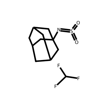 FC(F)F.O=S(=O)=NC12CC3CC(CC(C3)C1)C2